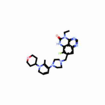 CCN1C(=O)Nc2c(F)c(CN3CCN(C4=C(C)N(C5CCOCC5)CC=C4)CC3)cc3ncnc1c23